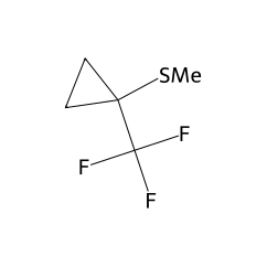 CSC1(C(F)(F)F)CC1